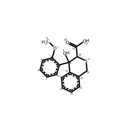 COc1ccccc1C1(O)c2ccccc2CSC1C(=O)O